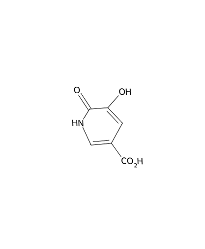 O=C(O)c1c[nH]c(=O)c(O)c1